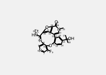 CCN/C1=N/c2cncc(F)c2Oc2ccc(C(C)(C)O)cc2-c2cn(C)c(=O)c3oc1cc23